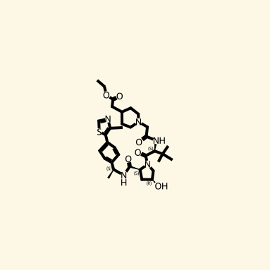 CCOC(=O)CC1CCN(CC(=O)N[C@H](C(=O)N2C[C@H](O)C[C@H]2C(=O)N[C@@H](C)c2ccc(-c3scnc3C)cc2)C(C)(C)C)CC1